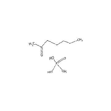 CCCCCC(C)=O.O=P(O)(O)O